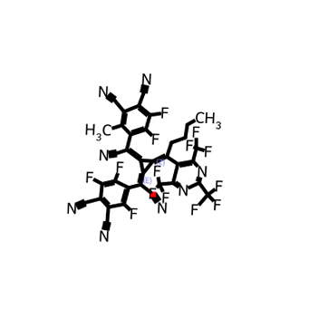 CCCC/C(=C1\C(=C(C#N)c2c(C)c(C#N)c(C#N)c(F)c2F)\C1=C(\C#N)c1c(F)c(F)c(C#N)c(C#N)c1F)c1c(C(F)(F)F)nc(C(F)(F)F)nc1C(F)(F)F